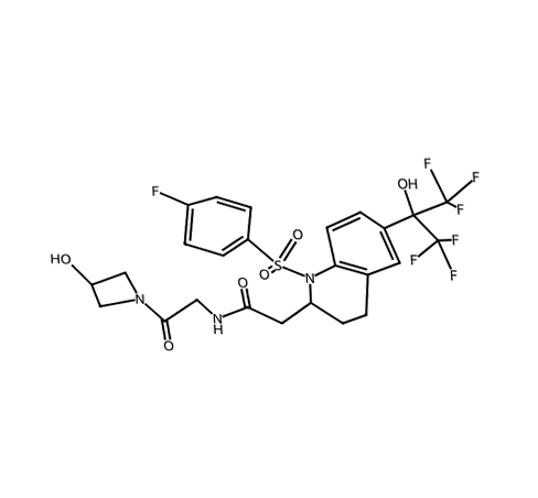 O=C(CC1CCc2cc(C(O)(C(F)(F)F)C(F)(F)F)ccc2N1S(=O)(=O)c1ccc(F)cc1)NCC(=O)N1CC(O)C1